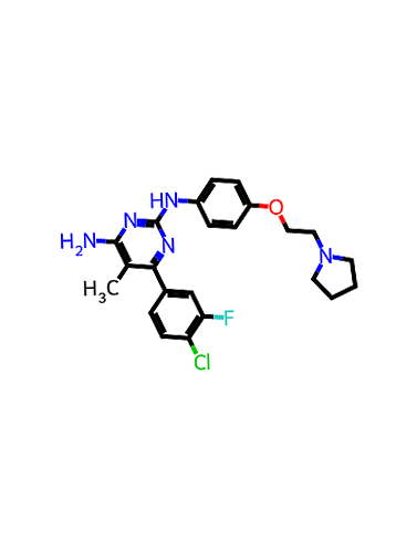 Cc1c(N)nc(Nc2ccc(OCCN3CCCC3)cc2)nc1-c1ccc(Cl)c(F)c1